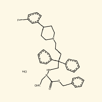 Cl.O=CCN(NCC(CCCN1CCC(c2cccc(F)c2)CC1)(c1ccccc1)c1ccccc1)C(=O)OCc1ccccc1